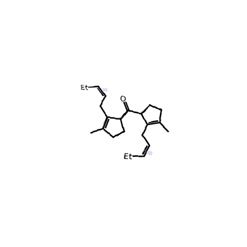 CC/C=C\CC1=C(C)CCC1C(=O)C1CCC(C)=C1C/C=C\CC